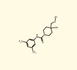 CCSCC1(O)CCN(C(=O)Nc2cc(C(F)(F)F)cc(C(F)(F)F)c2)CC1